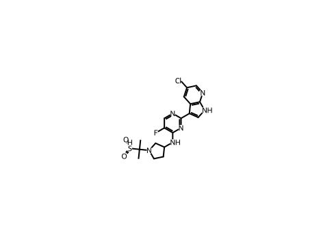 CC(C)(N1CCC(Nc2nc(-c3c[nH]c4ncc(Cl)cc34)ncc2F)C1)[SH](=O)=O